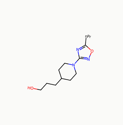 CCCc1nc(N2CCC(CCCO)CC2)no1